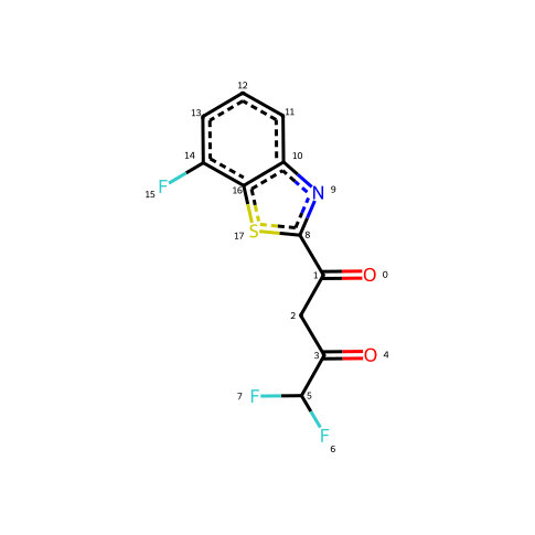 O=C(CC(=O)C(F)F)c1nc2cccc(F)c2s1